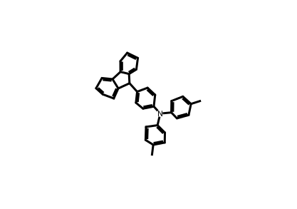 Cc1ccc(N(c2ccc(C)cc2)c2ccc(C3c4ccccc4-c4ccccc43)cc2)cc1